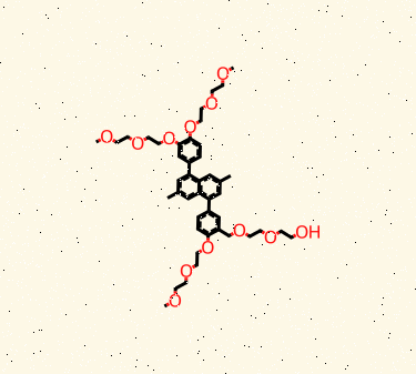 COCCOCCOc1ccc(-c2cc(C)cc3c(-c4ccc(OCCOCCOC)c(OCCOCCOC)c4)cc(C)cc23)cc1COCCOCCO